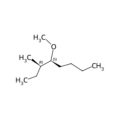 CCCC[C@H](OC)[C@H](C)CC